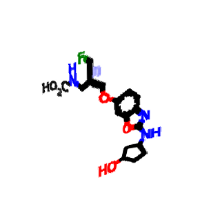 O=C(O)NC/C(=C\F)COc1ccc2nc(NC3CCC(O)C3)oc2c1